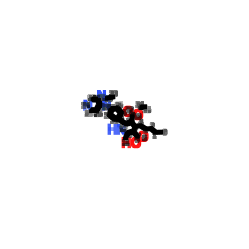 CCCCCC1C(C(=O)O)=C(C)NC(c2ccc(-n3c(C)nc4cnccc43)cc2)=C1C(=O)OCC